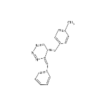 Cc1ccc(C=c2cnnnc2=Cc2ccccc2)cc1